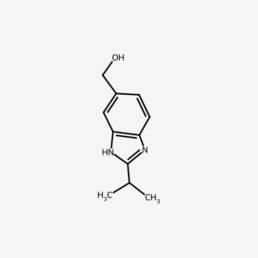 CC(C)c1nc2ccc(CO)cc2[nH]1